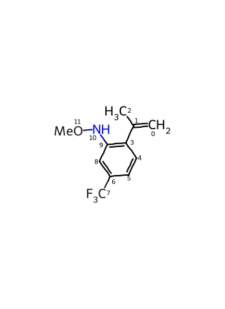 C=C(C)c1ccc(C(F)(F)F)cc1NOC